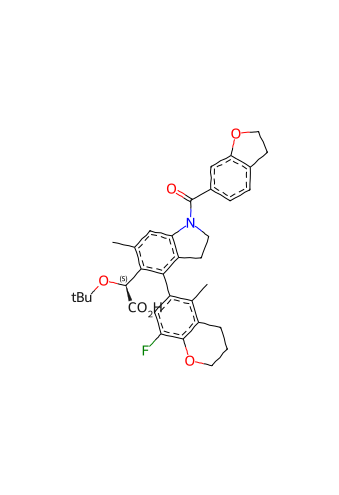 Cc1cc2c(c(-c3cc(F)c4c(c3C)CCCO4)c1[C@H](OC(C)(C)C)C(=O)O)CCN2C(=O)c1ccc2c(c1)OCC2